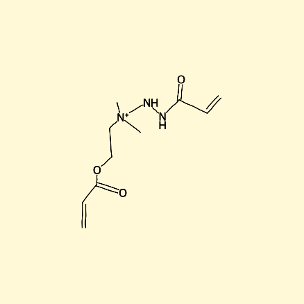 C=CC(=O)NN[N+](C)(C)CCOC(=O)C=C